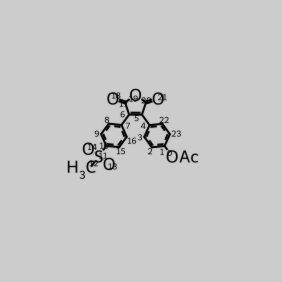 CC(=O)Oc1ccc(C2=C(c3ccc(S(C)(=O)=O)cc3)C(=O)OC2=O)cc1